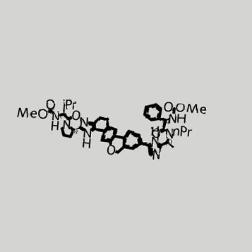 CCCN(C(=O)[C@H](NC(=O)OC)c1ccccc1)[C@@H](C)c1ncc(-c2ccc3c(c2)COc2cc4c(cc2-3)CCc2nc([C@@H]3CCCN3C(=O)[C@@H](NC(=O)OC)C(C)C)[nH]c2-4)[nH]1